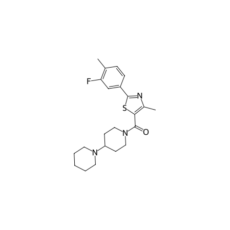 Cc1ccc(-c2nc(C)c(C(=O)N3CCC(N4CCCCC4)CC3)s2)cc1F